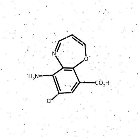 Nc1c(Cl)cc(C(=O)O)c2c1N=CC=CO2